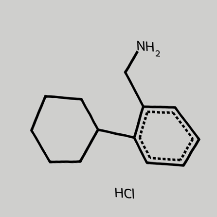 Cl.NCc1ccccc1C1CCCCC1